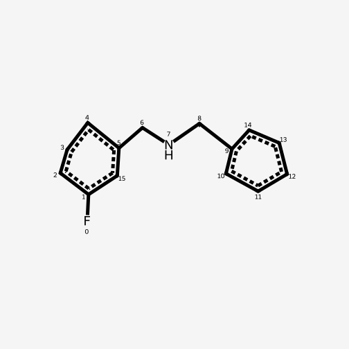 Fc1cccc(CN[CH]c2ccccc2)c1